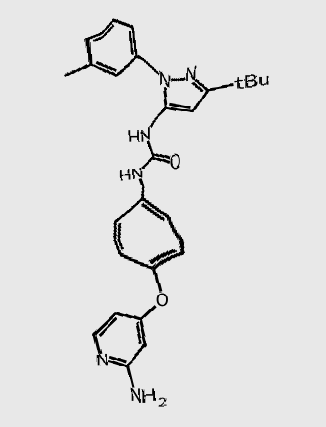 Cc1cccc(-n2nc(C(C)(C)C)cc2NC(=O)Nc2ccc(Oc3ccnc(N)c3)cc2)c1